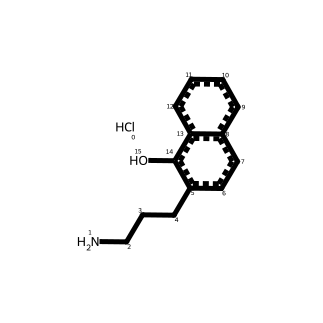 Cl.NCCCc1ccc2ccccc2c1O